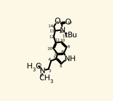 CN(C)CCc1c[nH]c2ccc(CC3COC(=O)N3C(C)(C)C)cc12